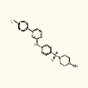 CN1CCN(S(=O)(=O)c2ccc(Nc3nccc(-c4ccc(N)cc4)n3)cc2)CC1